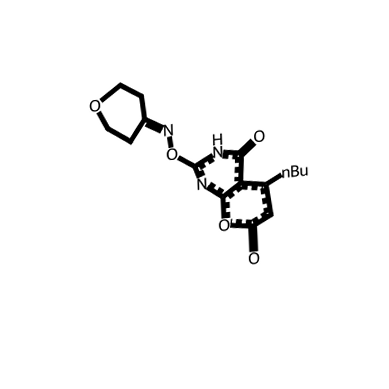 CCCCc1cc(=O)oc2nc(ON=C3CCOCC3)[nH]c(=O)c12